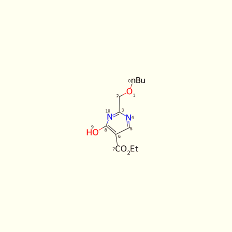 CCCCOCc1ncc(C(=O)OCC)c(O)n1